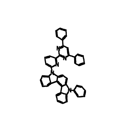 c1ccc(-c2cc(-c3ccccc3)nc(-c3cccc(-n4c5ccccc5c5c6c7ccccc7n(-c7ccccc7)c6ccc54)n3)n2)cc1